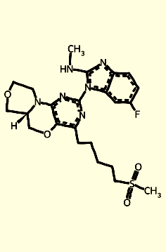 CNc1nc2ccc(F)cc2n1-c1nc(CCCCCS(C)(=O)=O)c2c(n1)N1CCOC[C@H]1CO2